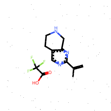 C=C(C)c1ncc2c(n1)CNCC2.O=C(O)C(F)(F)F